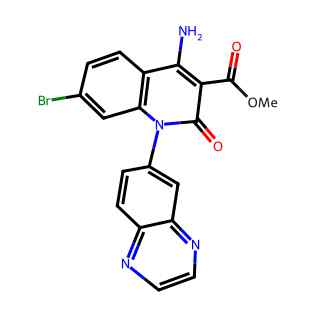 COC(=O)c1c(N)c2ccc(Br)cc2n(-c2ccc3nccnc3c2)c1=O